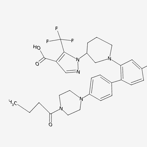 CCCC(=O)N1CCN(c2ccc(-c3ccc(Cl)cc3N3CCCC(n4ncc(C(=O)O)c4C(F)(F)F)C3)cc2)CC1